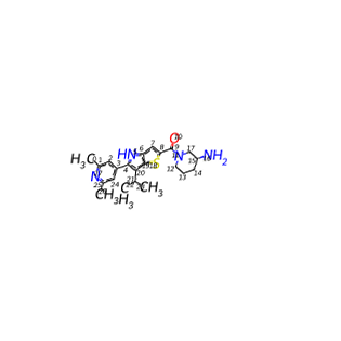 Cc1cc(-c2[nH]c3cc(C(=O)N4CCC[C@H](N)C4)sc3c2C(C)C)cc(C)n1